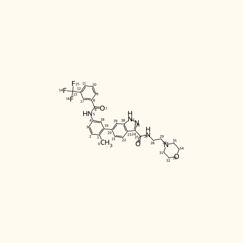 Cc1ccc(NC(=O)c2cccc(C(F)(F)F)c2)cc1-c1ccc2c(C(=O)NCCN3CCOCC3)n[nH]c2c1